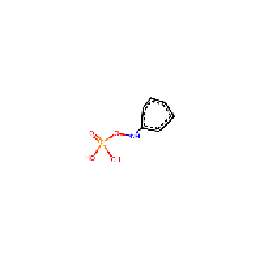 O=P(O)(O)ONc1ccccc1